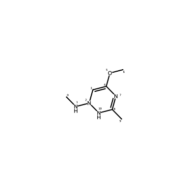 CNN1C=C(OC)N=C(C)N1